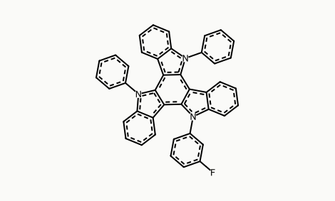 Fc1cccc(-n2c3ccccc3c3c4c(c5ccccc5n4-c4ccccc4)c4c(c5ccccc5n4-c4ccccc4)c32)c1